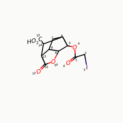 O=C(CI)OC1C2CC3C1OC(=O)C3C2C(=O)O